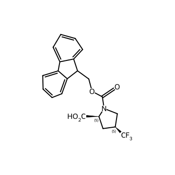 O=C(O)[C@@H]1C[C@H](C(F)(F)F)CN1C(=O)OCC1c2ccccc2-c2ccccc21